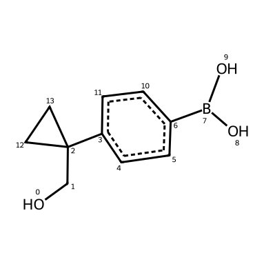 OCC1(c2ccc(B(O)O)cc2)CC1